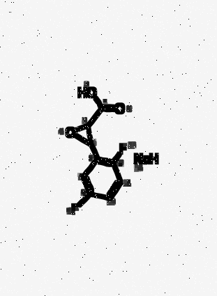 O=C(O)C1OC1c1cc(F)ccc1F.[NaH]